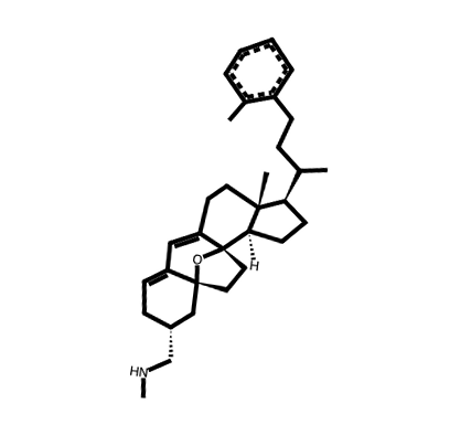 CNC[C@@H]1CC=C2C=C3CC[C@]4(C)[C@@H](C(C)CCc5ccccc5C)CC[C@H]4[C@@]34CC[C@]2(C1)O4